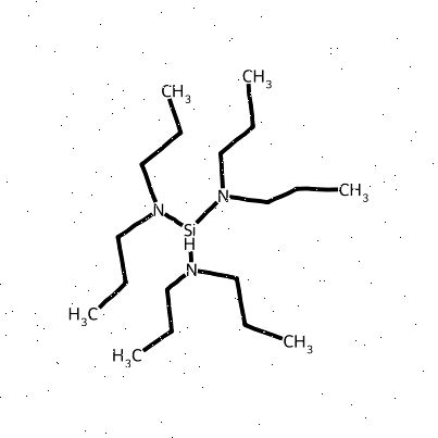 CCCN(CCC)[SiH](N(CCC)CCC)N(CCC)CCC